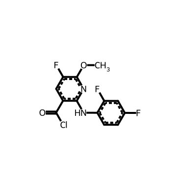 COc1nc(Nc2ccc(F)cc2F)c(C(=O)Cl)cc1F